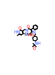 CSc1cc(C)[nH]c(=O)c1CNC(=O)c1c(C)n(CC2(O)CCC(NC3(C)COC3)CC2)c2ccccc12